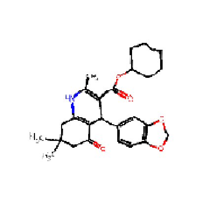 CC1=C(C(=O)OC2CCCCC2)C(c2ccc3c(c2)OCO3)C2=C(CC(C)(C)CC2=O)N1